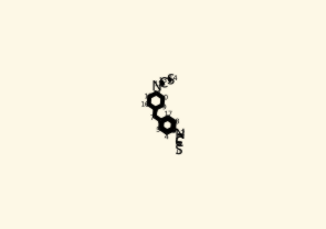 S=C=Nc1ccc(CC2CCC(N=C=S)CC2)cc1